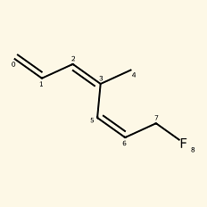 C=C/C=C(C)\C=C/CF